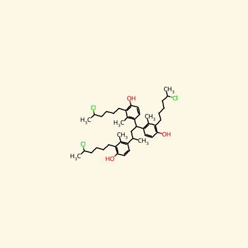 Cc1c(C(C)CC(c2ccc(O)c(CCCCC(C)Cl)c2C)c2ccc(O)c(CCCCC(C)Cl)c2C)ccc(O)c1CCCCC(C)Cl